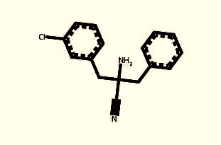 N#CC(N)(Cc1ccccc1)Cc1cccc(Cl)c1